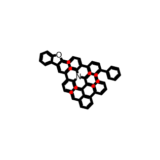 c1ccc(-c2ccc(-c3ccccc3N(c3ccccc3-c3ccc4oc5ccccc5c4c3)c3ccccc3-c3cccc4cccc(-c5ccccc5)c34)cc2)cc1